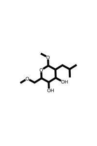 COCC1OC(OC)C(CC(C)C)C(O)C1O